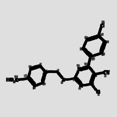 N#Cc1c(Cl)nc(SCc2ccc(C(=O)O)cc2)nc1-c1ccc(Cl)cc1